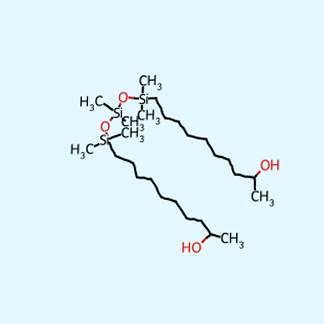 CC(O)CCCCCCCC[Si](C)(C)O[Si](C)(C)O[Si](C)(C)CCCCCCCCC(C)O